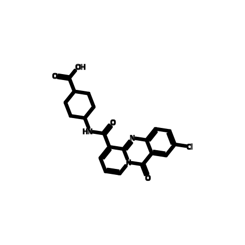 O=C(NC1CCC(C(=O)O)CC1)c1cccn2c(=O)c3cc(Cl)ccc3nc12